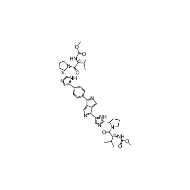 COC(=O)N[C@H](C(=O)N1CCCC1c1ncc(C2=NC=C3C2=CN=C3c2ccc(-c3cnc([C@@H]4CCCN4C(=O)[C@@H](NC(=O)OC)C(C)C)[nH]3)cc2)[nH]1)C(C)C